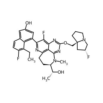 CCc1c(F)ccc2cc(O)cc(-c3nc4c5c(nc(OC[C@@]67CCCN6C[C@H](F)C7)nc5c3F)N(C)[C@@H]([C@@H](C)O)CC4)c12